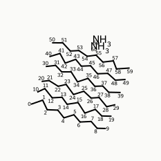 CCCCCCCCCC.CCCCCCCCCC.CCCCCCCCCC.CCCCCCCCCC.CCCCCCCCCC.CCCCCCCCCC.N.N